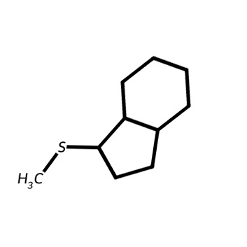 CSC1CCC2CCCCC21